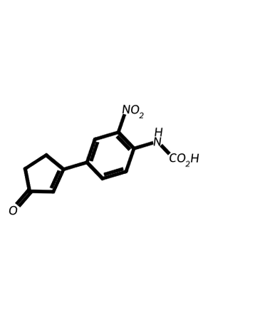 O=C1C=C(c2ccc(NC(=O)O)c([N+](=O)[O-])c2)CC1